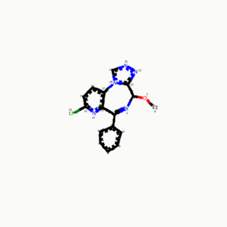 CCOC1N=C(c2ccccc2)c2nc(Cl)ccc2-n2cnnc21